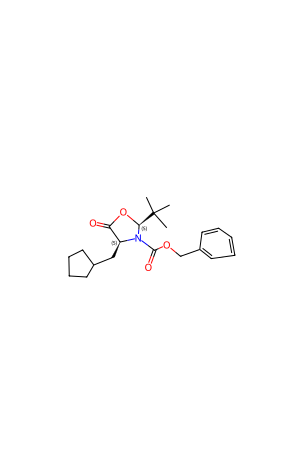 CC(C)(C)[C@@H]1OC(=O)[C@H](CC2CCCC2)N1C(=O)OCc1ccccc1